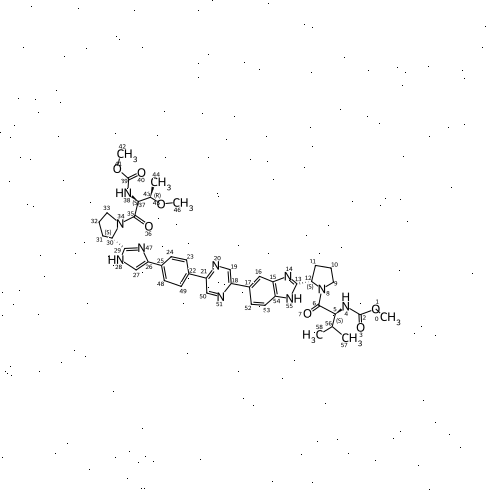 COC(=O)N[C@H](C(=O)N1CCC[C@H]1c1nc2cc(-c3cnc(-c4ccc(-c5c[nH]c([C@@H]6CCCN6C(=O)[C@@H](NC(=O)OC)[C@@H](C)OC)n5)cc4)cn3)ccc2[nH]1)C(C)C